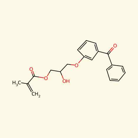 C=C(C)C(=O)OCC(O)COc1cccc(C(=O)c2ccccc2)c1